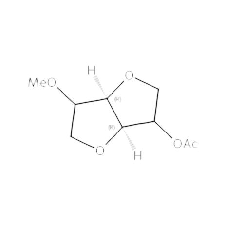 COC1CO[C@@H]2C(OC(C)=O)CO[C@H]12